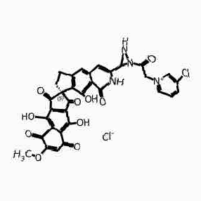 COC1=CC(=O)c2c(O)c3c(c(O)c2C1=O)C(=O)[C@]1(CCc2cc4cc(C5NN5C(=O)C[n+]5cccc(Cl)c5)[nH]c(=O)c4c(O)c21)C3=O.[Cl-]